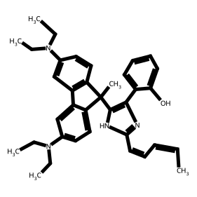 C/C=C\C=C/c1nc(-c2ccccc2O)c(C2(C)c3ccc(N(CC)CC)cc3-c3cc(N(CC)CC)ccc32)[nH]1